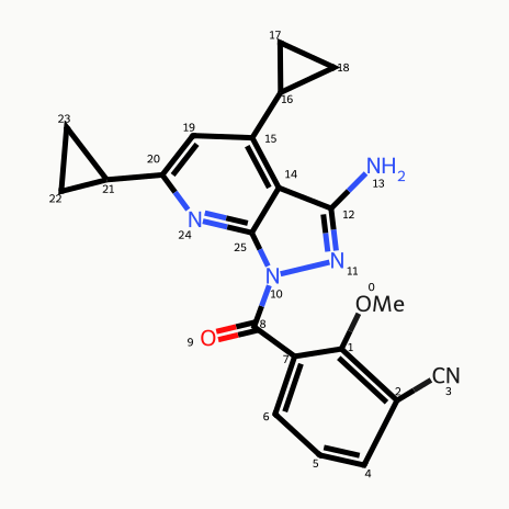 COc1c(C#N)cccc1C(=O)n1nc(N)c2c(C3CC3)cc(C3CC3)nc21